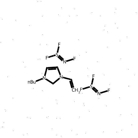 C=CN1C=CN(CCCC)C1.FN=S(F)F.FN=S(F)F